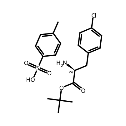 CC(C)(C)OC(=O)[C@@H](N)Cc1ccc(Cl)cc1.Cc1ccc(S(=O)(=O)O)cc1